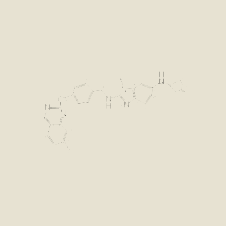 Cn1c(NCc2ccc(Oc3ncc4ccc(Cl)cc4n3)cc2)nc2ccc(NC3COC3)cc21